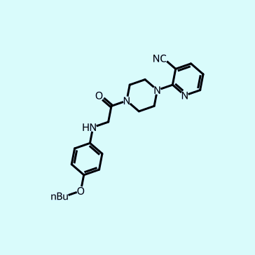 CCCCOc1ccc(NCC(=O)N2CCN(c3ncccc3C#N)CC2)cc1